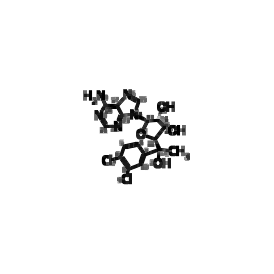 CC(O)(c1ccc(Cl)c(Cl)c1)[C@H]1O[C@@H](n2cnc3c(N)ncnc32)[C@H](O)[C@@H]1O